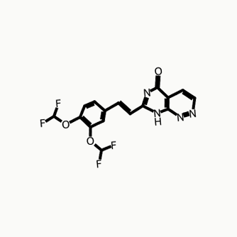 O=c1nc(/C=C/c2ccc(OC(F)F)c(OC(F)F)c2)[nH]c2nnccc12